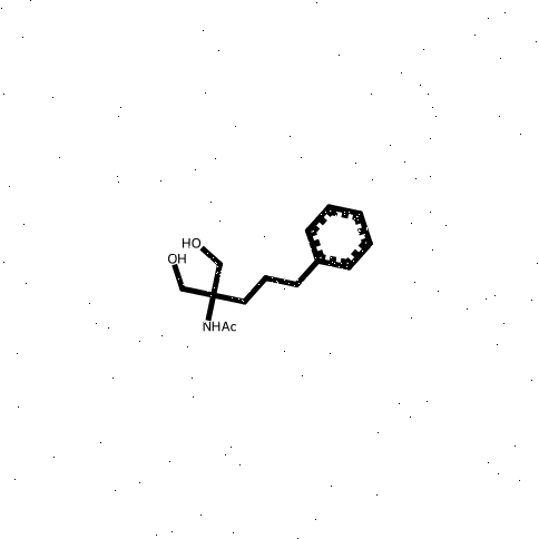 CC(=O)NC(CO)(CO)CCCc1ccccc1